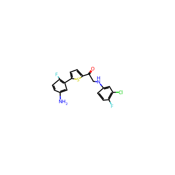 Nc1ccc(F)c(-c2ccc(C(=O)CNc3ccc(F)c(Cl)c3)s2)c1